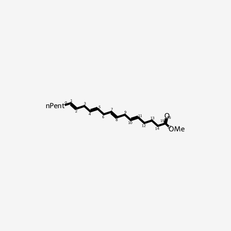 CCCCC/C=C/C/C=C/C/C=C/C/C=C/CCCC(=O)OC